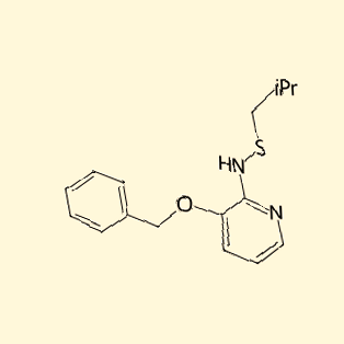 CC(C)CSNc1ncccc1OCc1ccccc1